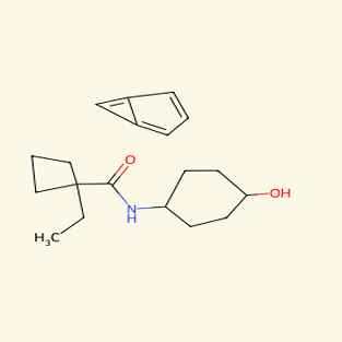 CCC1(C(=O)NC2CCC(O)CC2)CCC1.c1cc2cc-2c1